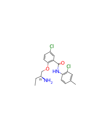 CC[C@H](N)COc1ccc(Cl)cc1C(=O)Nc1ccc(C)cc1Cl